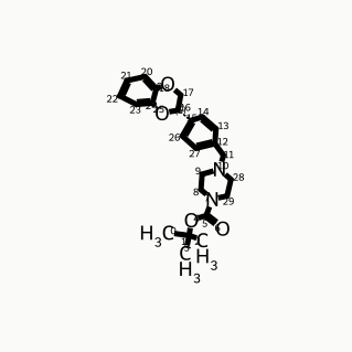 CC(C)(C)OC(=O)N1CCN(Cc2ccc([C@H]3COc4ccccc4O3)cc2)CC1